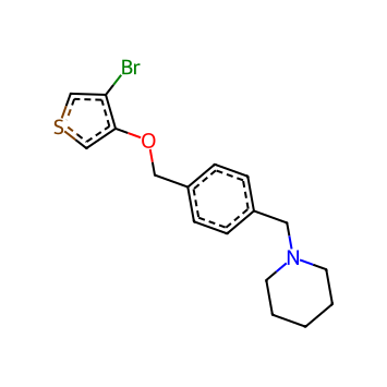 Brc1cscc1OCc1ccc(CN2CCCCC2)cc1